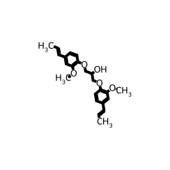 CC=Cc1ccc(OCC(O)COc2ccc(C=CC)cc2OC)c(OC)c1